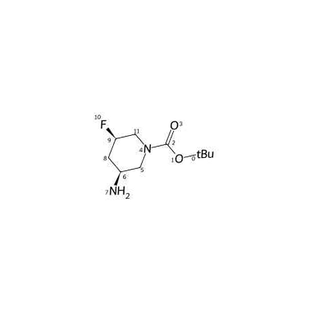 CC(C)(C)OC(=O)N1C[C@@H](N)C[C@@H](F)C1